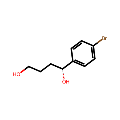 OCCC[C@@H](O)c1ccc(Br)cc1